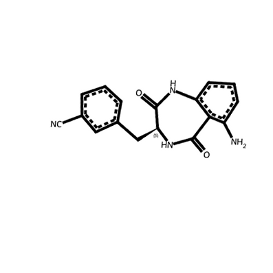 N#Cc1cccc(C[C@@H]2NC(=O)c3c(N)cccc3NC2=O)c1